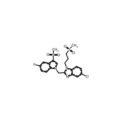 CS(=O)(=O)CCCn1c(Cn2cc(S(C)(=O)=O)c3cc(F)ccc32)nc2cc(Cl)ccc21